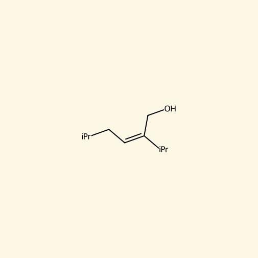 CC(C)CC=C(CO)C(C)C